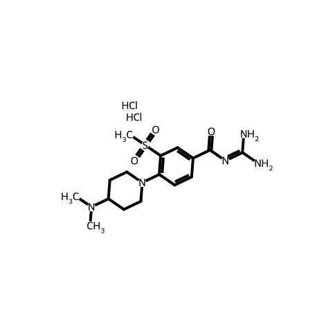 CN(C)C1CCN(c2ccc(C(=O)N=C(N)N)cc2S(C)(=O)=O)CC1.Cl.Cl